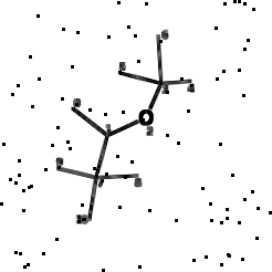 CC(OC(C)(C)C)C(C)(C)C